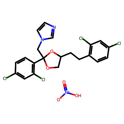 Clc1ccc(CCC2COC(Cn3ccnc3)(c3ccc(Cl)cc3Cl)O2)c(Cl)c1.O=[N+]([O-])O